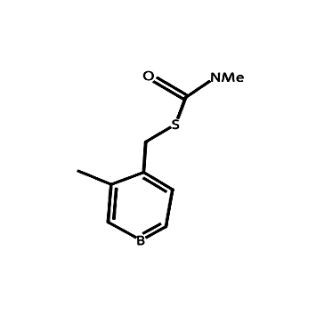 CNC(=O)SCc1ccbcc1C